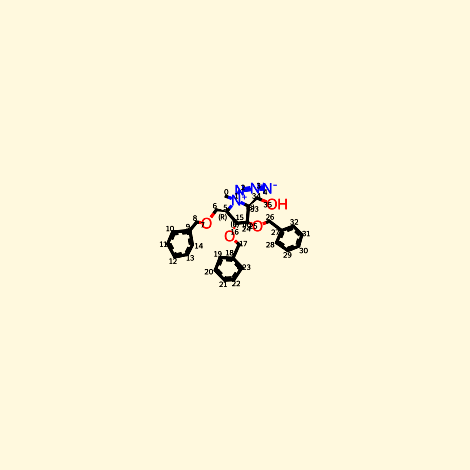 C[N+]1(N=[N+]=[N-])[C@H](COCc2ccccc2)[C@@H](OCc2ccccc2)[C@H](OCc2ccccc2)[C@@H]1CO